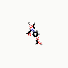 COC(C)COc1ccc(N(CC(C)OC)CC2CO2)cc1